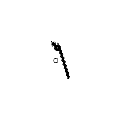 CCCCCCCCCCCCCCCCc1ccc([N+]#N)cc1.[Cl-]